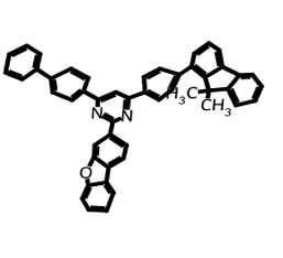 CC1(C)c2ccccc2-c2cccc(-c3ccc(-c4cc(-c5ccc(-c6ccccc6)cc5)nc(-c5ccc6c(c5)oc5ccccc56)n4)cc3)c21